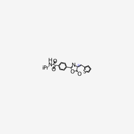 CC(C)NS(=O)(=O)c1ccc(C2=N/C(=C/c3cccs3)C(=O)O2)cc1